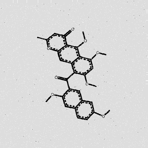 COc1ccc2cc(OC)c(C(=O)c3c(OC)cc(OC)c4c(OC)c5c(=O)cc(C)oc5cc34)cc2c1